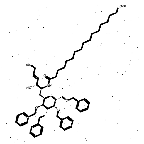 CCCCCCCCCCCCCCCCCCCCCCCCCC(=O)N[C@@H](C[C@H]1O[C@H](COCc2ccccc2)[C@H](OCc2ccccc2)[C@H](OCc2ccccc2)[C@H]1OCc1ccccc1)[C@H](O)/C=C/CC(C)(C)C